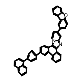 c1ccc2c(-c3ccc(-c4ccc5c(c4)c4ccccc4c4nc6cc(-c7ccc8oc9ccccc9c8c7)ccn6c54)cc3)cccc2c1